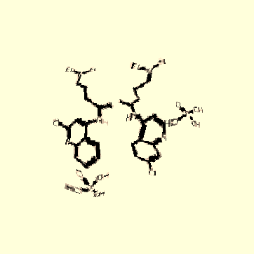 CCN(CC)CCCC(C)Nc1cc(Cl)nc2ccccc12.CCN(CC)CCCC(C)Nc1ccnc2cc(Cl)ccc12.O=P(O)(O)O.O=P(O)(O)O